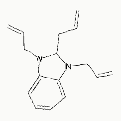 C=CCC1N(CC=C)c2ccccc2N1CC=C